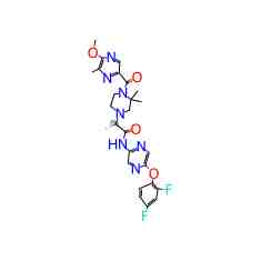 COc1ncc(C(=O)N2CCN([C@@H](C)C(=O)Nc3cnc(Oc4ccc(F)cc4F)cn3)CC2(C)C)nc1C